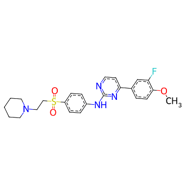 COc1ccc(-c2ccnc(Nc3ccc(S(=O)(=O)CCN4CCCCC4)cc3)n2)cc1F